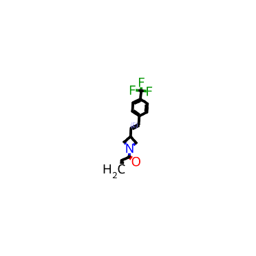 C=CC(=O)N1CC(/C=C/c2ccc(C(F)(F)F)cc2)C1